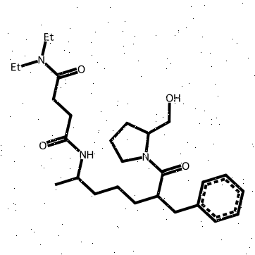 CCN(CC)C(=O)CCC(=O)NC(C)CCCC(Cc1ccccc1)C(=O)N1CCCC1CO